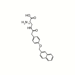 N[C@@H](CNC(=O)Cc1ccc(OCc2ccc3ccccc3c2)cc1)C(=O)O